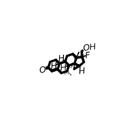 C[C@@H]1CC2=CC(=O)CC[C@@H]2[C@H]2CC[C@]3(C)[C@](F)(CO)C[C@H]4C[C@]43[C@@H]21